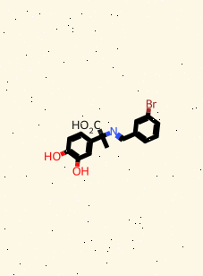 CC(/N=C/c1cccc(Br)c1)(C(=O)O)c1ccc(O)c(O)c1